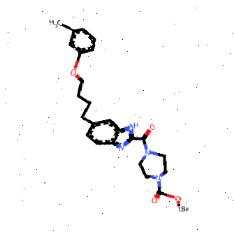 Cc1cccc(OCCCCc2ccc3nc(C(=O)N4CCN(C(=O)OC(C)(C)C)CC4)[nH]c3c2)c1